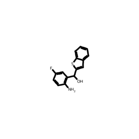 Nc1ccc(F)cc1C(O)c1cc2ccccc2s1